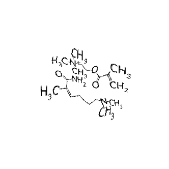 C=C(C)C(=O)OCC[N+](C)(C)C.CC(=CCCCN(C)C)C(N)=O